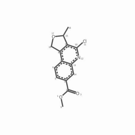 COC(=O)c1ccc2c3c(c(Cl)nc2c1)C(C)OC3